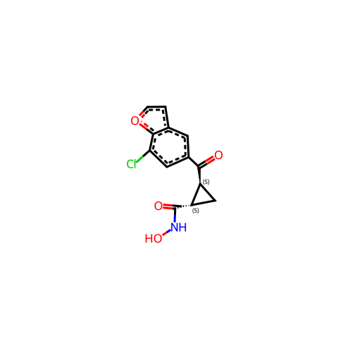 O=C(NO)[C@H]1C[C@@H]1C(=O)c1cc(Cl)c2occc2c1